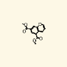 COC(=O)c1cc2c(c(C(=O)OC)c1)CC=CO2